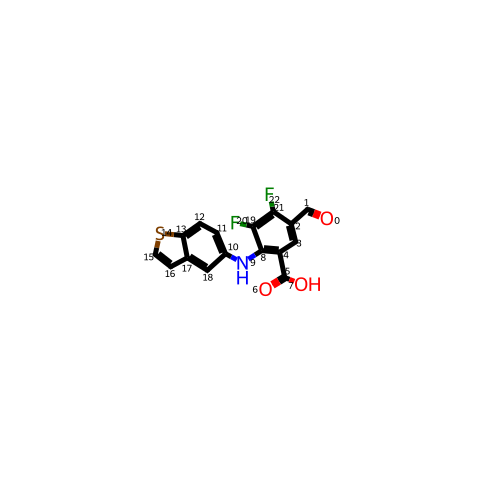 O=Cc1cc(C(=O)O)c(Nc2ccc3sccc3c2)c(F)c1F